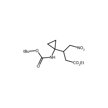 CCOC(=O)CC(C[N+](=O)[O-])C1(NC(=O)OC(C)(C)C)CC1